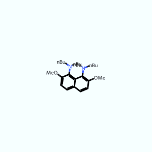 CCCCN(CCCC)c1c(OC)ccc2ccc(OC)c(N(CCCC)CCCC)c12